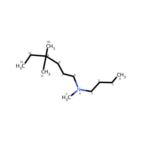 CCCCN(C)CCCC(C)(C)CC